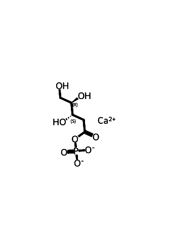 O=C(C[C@H](O)[C@H](O)CO)OP(=O)([O-])[O-].[Ca+2]